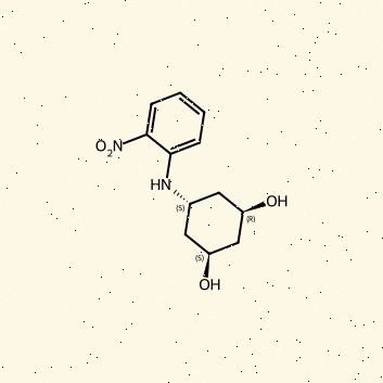 O=[N+]([O-])c1ccccc1N[C@H]1C[C@H](O)C[C@H](O)C1